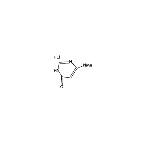 CNc1cc(=O)[nH]cn1.Cl